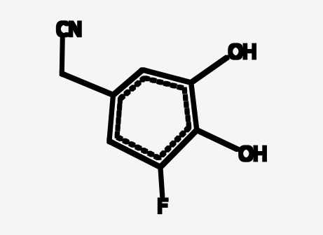 N#CCc1cc(O)c(O)c(F)c1